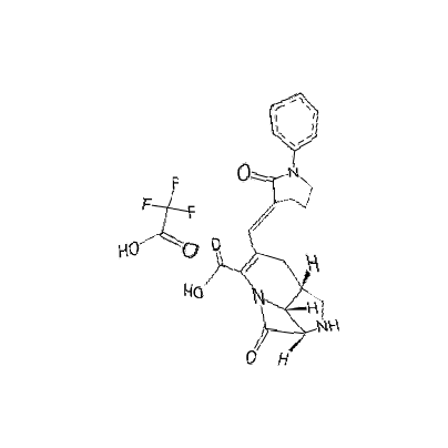 O=C(O)C(F)(F)F.O=C(O)C1=C(/C=C2\CCN(c3ccccc3)C2=O)C[C@@H]2CN[C@@H]3C(=O)N1[C@H]23